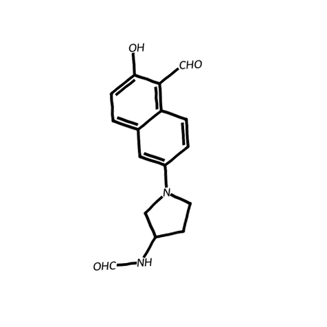 O=CNC1CCN(c2ccc3c(C=O)c(O)ccc3c2)C1